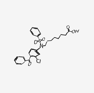 O=C(O)CCCCCCCN(c1ccc(C(=O)c2ccccc2)c(Cl)c1)S(=O)(=O)c1ccccc1